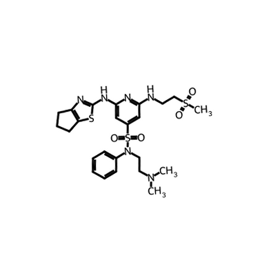 CN(C)CCN(c1ccccc1)S(=O)(=O)c1cc(NCCS(C)(=O)=O)nc(Nc2nc3c(s2)CCC3)c1